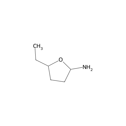 CCC1CCC(N)O1